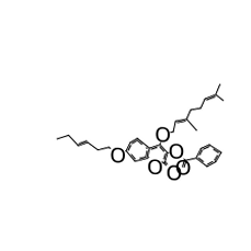 CCC=CCCOc1ccc2c(OC/C=C(\C)CCC=C(C)C)c(OC(=O)c3ccccc3)c(=O)oc2c1